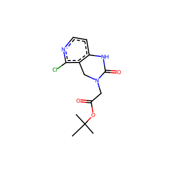 CC(C)(C)OC(=O)CN1Cc2c(ccnc2Cl)NC1=O